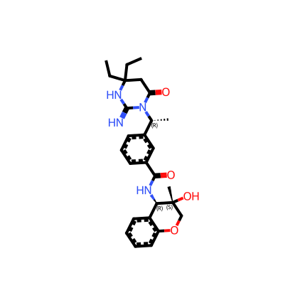 CCC1(CC)CC(=O)N([C@H](C)c2cccc(C(=O)N[C@@H]3c4ccccc4OC[C@@]3(C)O)c2)C(=N)N1